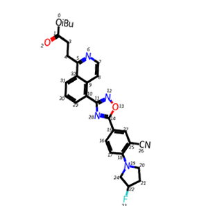 CC(C)COC(=O)CCc1nccc2c(-c3noc(-c4ccc(N5CCC(F)C5)c(C#N)c4)n3)cccc12